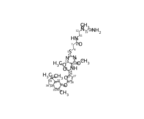 COc1nc(SCCC(=O)NCCN(C)CCN)nc(OC)c1NC(=O)c1ccc(Oc2cc3c(cc2C)CCC3(C)C)o1